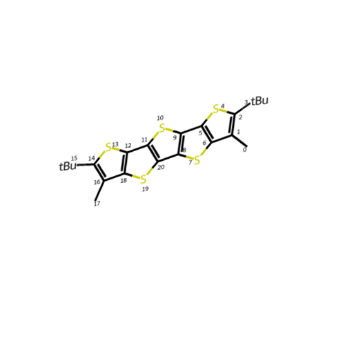 Cc1c(C(C)(C)C)sc2c1sc1c2sc2c3sc(C(C)(C)C)c(C)c3sc21